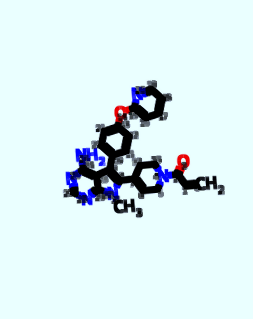 C=CC(=O)N1CC=C(c2c(-c3ccc(Oc4ccccn4)cc3)c3c(N)ncnc3n2C)CC1